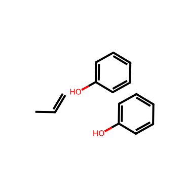 C=CC.Oc1ccccc1.Oc1ccccc1